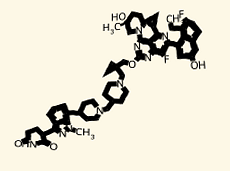 CCc1c(F)ccc2cc(O)cc(-c3nc(C4CC4)c4c(N5CCC[C@@](C)(O)C5)nc(OCC5(CN6CCC(CN7CCC(c8cccc9c(C%10CCC(=O)NC%10=O)nn(C)c89)CC7)CC6)CC5)nc4c3F)c12